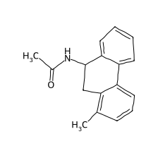 CC(=O)NC1Cc2c(C)cccc2-c2ccccc21